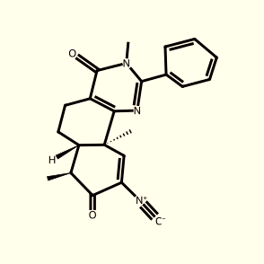 [C-]#[N+]C1=C[C@]2(C)c3nc(-c4ccccc4)n(C)c(=O)c3CC[C@H]2[C@H](C)C1=O